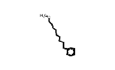 COCCCCCCCCCc1ccccc1